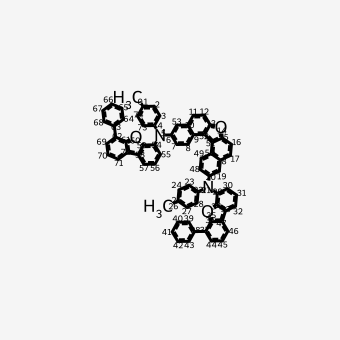 Cc1ccc(N(c2ccc3c(ccc4oc5ccc6cc(N(c7ccc(C)cc7)c7cccc8c7oc7c(-c9ccccc9)cccc78)ccc6c5c43)c2)c2cccc3c2oc2c(-c4ccccc4)cccc23)cc1